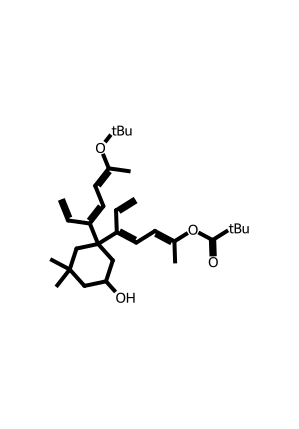 C=C/C(=C\C=C(/C)OC(=O)C(C)(C)C)C1(/C(C=C)=C/C=C(\C)OC(C)(C)C)CC(O)CC(C)(C)C1